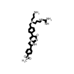 CS(=O)(=O)c1ccc(-c2cn3cc(-c4ccc(CN(CCCN)CCCNC(=N)N)cc4)c(=O)nc3[nH]2)cc1